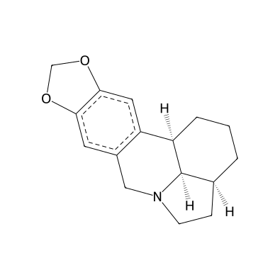 c1c2c(cc3c1OCO3)[C@H]1CCC[C@H]3CCN(C2)[C@H]31